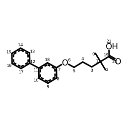 CC(C)(CCCOc1cccc(-c2ccccc2)c1)C(=O)O